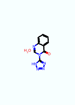 O.O=c1c2ccccc2ncn1-c1nnn[nH]1